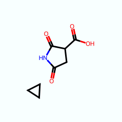 C1CC1.O=C1CC(C(=O)O)C(=O)N1